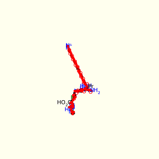 Cc1cc(N(C)c2nc(C(=O)O)c(CCCOc3ccc(C#CCN(C)C(=O)OCc4ccc(NC(=O)[C@H](CCCNC(N)=O)NC(=O)[C@@H](NC(=O)CCOCCOCCOCCOCCOCCOCCOCCOCCOCCOCCOCCOCCN=[N+]=[N-])C(C)C)cc4)cc3F)s2)nnc1Nc1nc2ccccc2s1